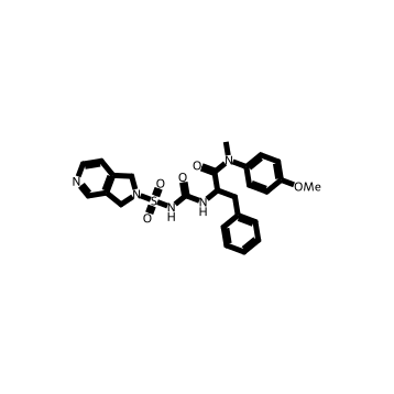 COc1ccc(N(C)C(=O)C(Cc2ccccc2)NC(=O)NS(=O)(=O)N2Cc3ccncc3C2)cc1